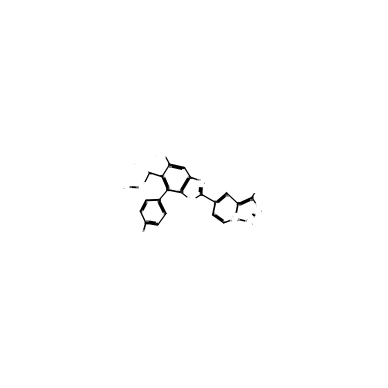 CC(=O)[C@@H](OC(C)(C)C)c1c(C)cc2nc(-c3ccn4nnc(C)c4c3)sc2c1-c1ccc(Cl)cc1